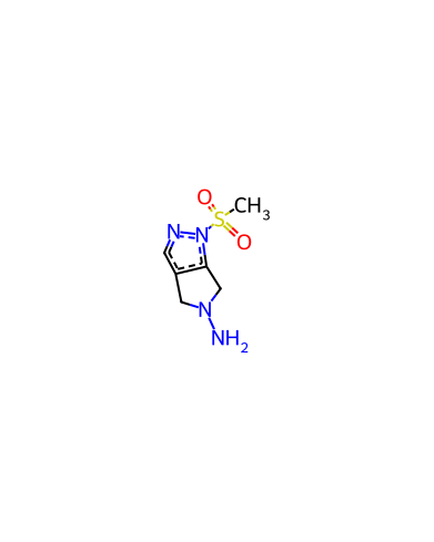 CS(=O)(=O)n1ncc2c1CN(N)C2